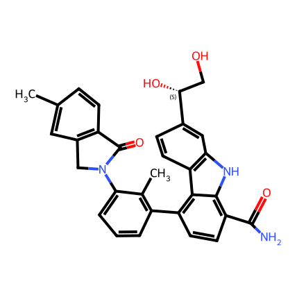 Cc1ccc2c(c1)CN(c1cccc(-c3ccc(C(N)=O)c4[nH]c5cc([C@H](O)CO)ccc5c34)c1C)C2=O